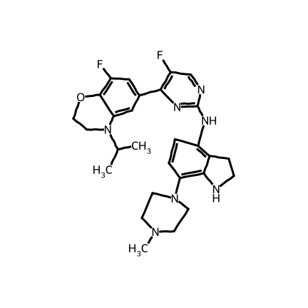 CC(C)N1CCOc2c(F)cc(-c3nc(Nc4ccc(N5CCN(C)CC5)c5c4CCN5)ncc3F)cc21